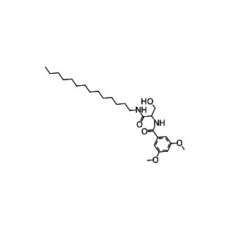 CCCCCCCCCCCCCCNC(=O)C(CO)NC(=O)c1cc(OC)cc(OC)c1